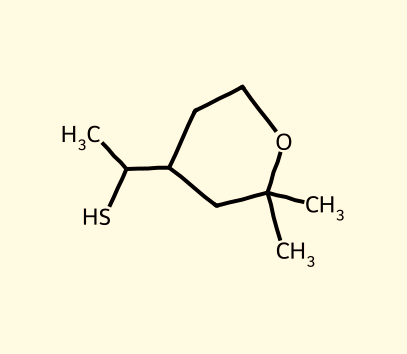 CC(S)C1CCOC(C)(C)C1